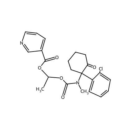 CC(OC(=O)c1cccnc1)OC(=O)N(C)C1(c2ccccc2Cl)CCCCC1=O